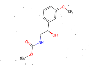 CC(C)(C)OC(=O)NC[C@H](O)c1cccc(OC(F)(F)F)c1